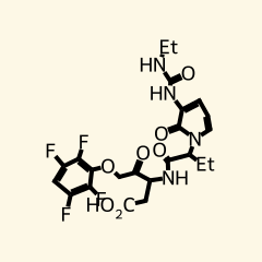 CCNC(=O)Nc1cccn(C(CC)C(=O)NC(CC(=O)O)C(=O)COc2c(F)c(F)cc(F)c2F)c1=O